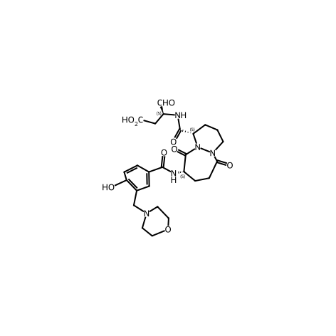 O=C[C@H](CC(=O)O)NC(=O)[C@@H]1CCCN2C(=O)CC[C@H](NC(=O)c3ccc(O)c(CN4CCOCC4)c3)C(=O)N12